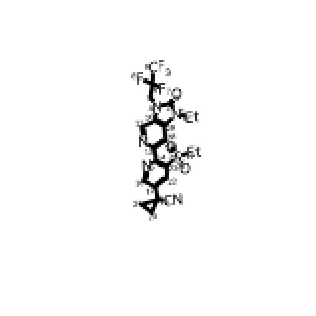 CCn1c(=O)n(CC(F)(F)C(F)(F)F)c2cnc(-c3ncc(C4(C#N)CC4)cc3S(=O)(=O)CC)cc21